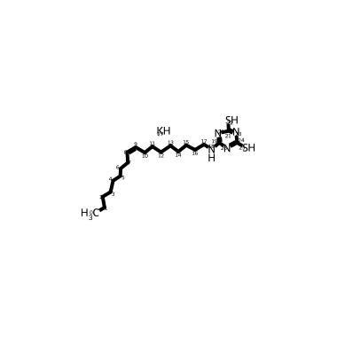 CCCCCCCC/C=C\CCCCCCCCNc1nc(S)nc(S)n1.[KH]